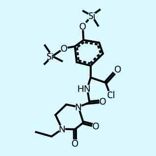 CCN1CCN(C(=O)NC(C(=O)Cl)c2ccc(O[Si](C)(C)C)c(O[Si](C)(C)C)c2)C(=O)C1=O